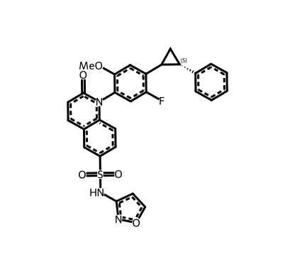 COc1cc(C2C[C@@H]2c2ccccc2)c(F)cc1-n1c(=O)ccc2cc(S(=O)(=O)Nc3ccon3)ccc21